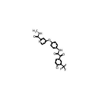 CNC(=O)c1cc(Oc2ccc(NC(=O)C(=O)c3ccc(Cl)c(C(F)(F)F)c3)cc2)ccn1